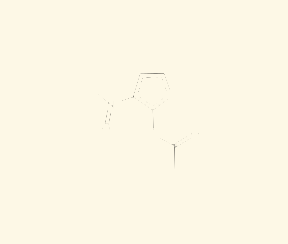 CC(=O)Oc1sccc1[N+](=O)[O-]